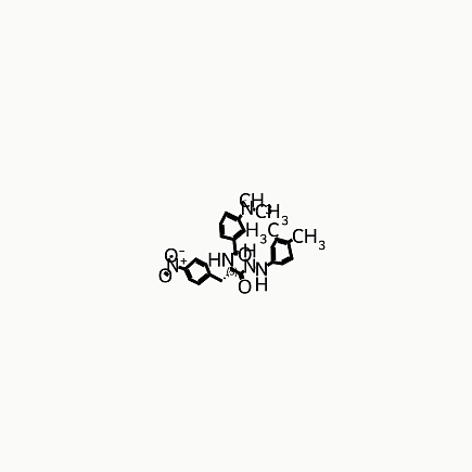 Cc1ccc(NNC(=O)[C@H](Cc2ccc([N+](=O)[O-])cc2)NC(=O)c2cccc(N(C)C)c2)cc1C